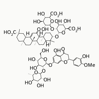 CC1(C)[C@@H](O[C@H]2O[C@H](C(=O)O)[C@@H](O)[C@H](O)[C@H]2O[C@@H]2O[C@H](C(=O)O)[C@@H](O)[C@H](O)[C@H]2O)CC[C@]2(C)[C@H]3C(=O)C=C4[C@@H]5C[C@@](C)(C(=O)O)CC[C@]5(C)CC[C@@]4(C)[C@]3(C)CC[C@@H]12.COc1ccc(C2CC(=O)c3c(O)cc(O[C@@H]4O[C@H](CO)[C@@H](O)[C@H](O)[C@H]4O[C@@H]4O[C@@H](C)[C@H](O)[C@@H](O)[C@H]4O)cc3O2)cc1O